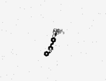 COC(COc1ccc(C=Cc2cc[n+](Cc3ccccc3)cc2)cc1)OC